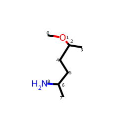 COC(C)CCC(C)N